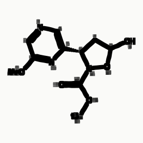 COc1cncc([C@@H]2CC(O)ON2C(=O)OC(C)(C)C)n1